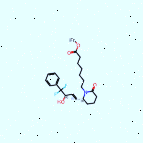 CC(C)OC(=O)CCCCCCN1C(=O)CCC[C@@H]1/C=C/[C@@H](O)C(F)(F)c1ccccc1